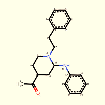 CC(=O)C1CCN(CCc2ccccc2)C(Nc2ccccc2)C1